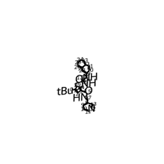 CC(C)(C)c1cc(C(=O)NCc2cccnc2)c(NC(=O)Nc2ccc3ccccc3c2)s1